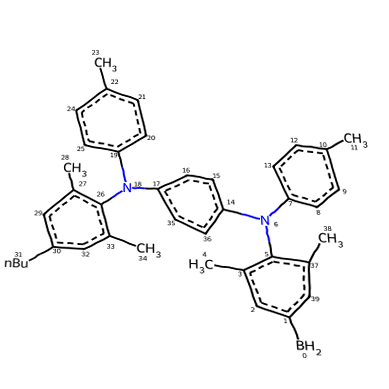 Bc1cc(C)c(N(c2ccc(C)cc2)c2ccc(N(c3ccc(C)cc3)c3c(C)cc(CCCC)cc3C)cc2)c(C)c1